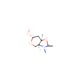 CCO[C@H]1C[C@]2(C)OC(C)N(C)[C@@H]2[C@H](C)O1